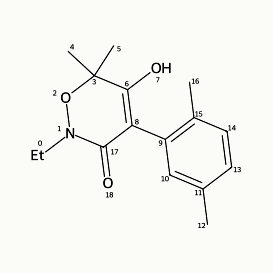 CCN1OC(C)(C)C(O)=C(c2cc(C)ccc2C)C1=O